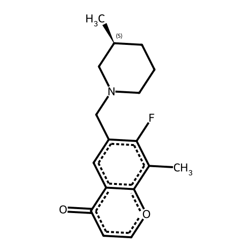 Cc1c(F)c(CN2CCC[C@H](C)C2)cc2c(=O)ccoc12